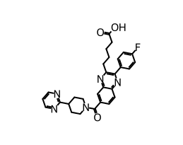 O=C(O)CCCCc1nc2cc(C(=O)N3CCC(c4ncccn4)CC3)ccc2nc1-c1ccc(F)cc1